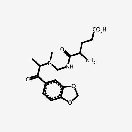 CC(C(=O)c1ccc2c(c1)OCO2)N(C)CNC(=O)C(N)CCC(=O)O